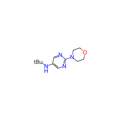 CC(C)(C)Nc1cnc(N2CCOCC2)nc1